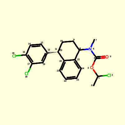 CC(Cl)OC(=O)N(C)C1CC[C@@H](c2ccc(Cl)c(Cl)c2)c2ccccc21